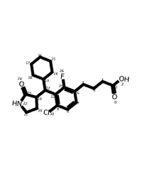 O=C(O)CCCc1ccc(Cl)c(C(C2CCCCC2)C2CCNC2=O)c1F